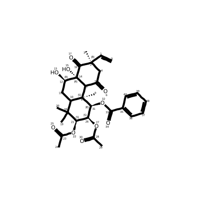 C=C[C@@]1(C)CC(=O)C2[C@]3(C)C(C[C@@H](O)[C@@]2(O)C1=O)C(C)(C)[C@H](OC(C)=O)[C@H](OC(C)=O)[C@@H]3OC(=O)c1ccccc1